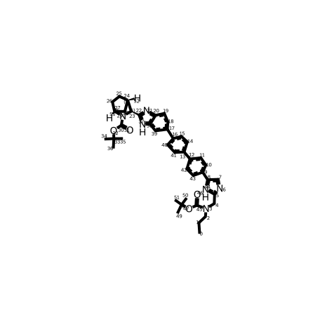 CCCN(Cc1ncc(-c2ccc(-c3ccc(-c4ccc5nc([C@@H]6[C@H]7CC[C@H](C7)N6C(=O)OC(C)(C)C)[nH]c5c4)cc3)cc2)[nH]1)C(=O)OC(C)(C)C